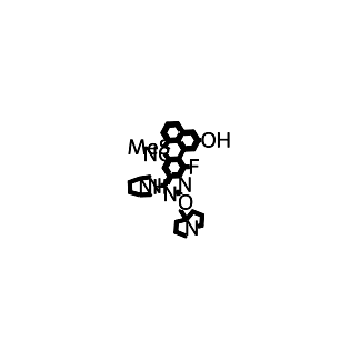 CSc1cccc2cc(O)cc(-c3c(C#N)cc4c(N5CC6CCC(C5)N6)nc(OCC56CCCN5CCC6)nc4c3F)c12